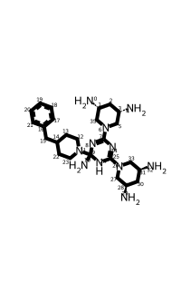 N[C@@H]1C[C@H](N)CN(C2=NC(N)(N3CCC(Cc4ccccc4)CC3)NC(N3C[C@H](N)C[C@H](N)C3)=N2)C1